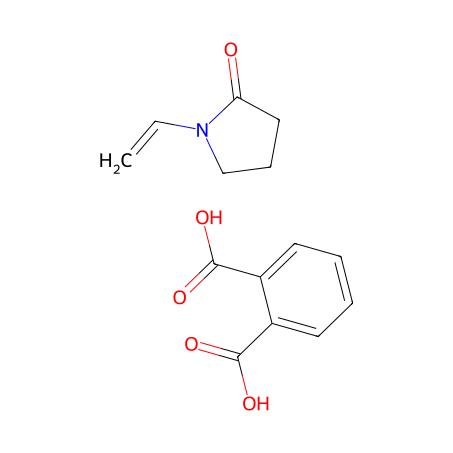 C=CN1CCCC1=O.O=C(O)c1ccccc1C(=O)O